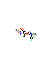 CC(c1ccc(F)cc1Cl)N1CCC[C@@H](Oc2cc(F)c(C(=O)NS(C)(=O)=O)cc2C2CC2)C1